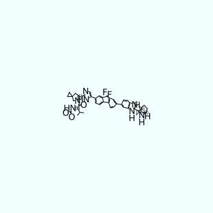 COC(=O)N[C@H](C(=O)N1CC2(CC2)C[C@H]1c1ncc(-c2ccc3c(c2)C(F)(F)c2cc(-c4ccc5nc([C@@]6(C)N[C@@H]7CC[C@H]6C7)[nH]c5c4)ccc2-3)[nH]1)C(C)C